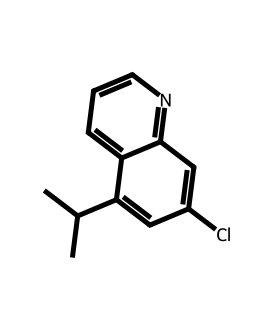 CC(C)c1cc(Cl)cc2ncccc12